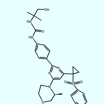 C[C@H]1COCCN1c1cc(C2(S(=O)(=O)c3ccccc3)CC2)nc(-c2ccc(NC(=O)NC(C)(C)CO)cc2)n1